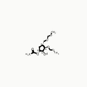 COCOC[C@H]1C[C@@H](OC(C)=O)[C@H](O)[C@@H]1OCOC